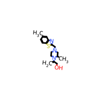 C=C(CO)N1CCN(Cc2nc3cc(C)ccc3s2)CC1C